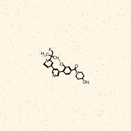 CC(C)(CF)c1cc(-c2cncc(-c3ccc(C(=O)N4CCC(O)CC4)cc3Cl)c2)ccn1